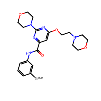 CNc1cccc(NC(=O)c2cc(OCCN3CCOCC3)nc(N3CCOCC3)n2)c1